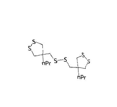 CCCC1(CSSCC2(CCC)CSSC2)CSSC1